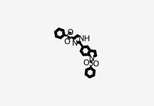 O=S(=O)(c1ccccc1)c1c[nH]c(-c2ccc3c(ccn3S(=O)(=O)c3ccccc3)c2)n1